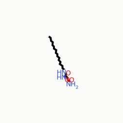 CCCCCCCCCCCCCCCCCCNC(=O)C(COC(N)=O)NC